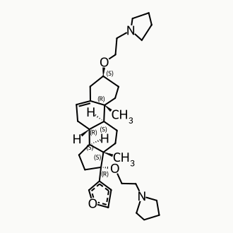 C[C@]12CC[C@H](OCCN3CCCC3)CC1=CC[C@@H]1[C@@H]2CC[C@@]2(C)[C@H]1CC[C@]2(OCCN1CCCC1)c1ccoc1